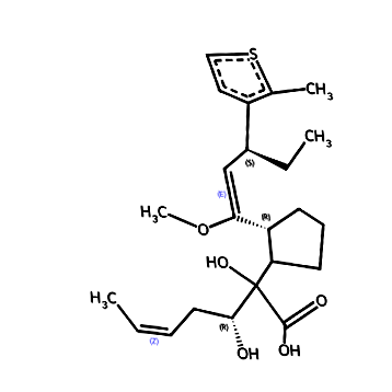 C/C=C\C[C@@H](O)C(O)(C(=O)O)C1CCC[C@H]1/C(=C\[C@H](CC)c1ccsc1C)OC